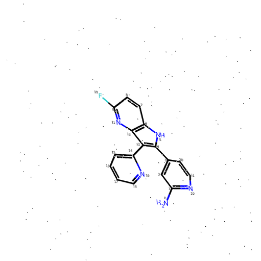 Nc1cc(-c2[nH]c3ccc(F)nc3c2-c2ccccn2)ccn1